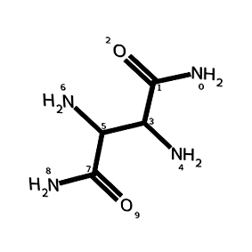 NC(=O)C(N)C(N)C(N)=O